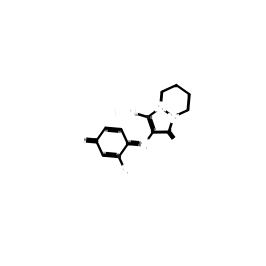 NC1=CC(=O)C=CC1=Nc1c(N)n2n(c1=O)CCCC2